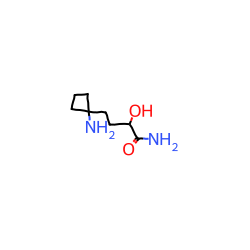 NC(=O)C(O)CCC1(N)CCC1